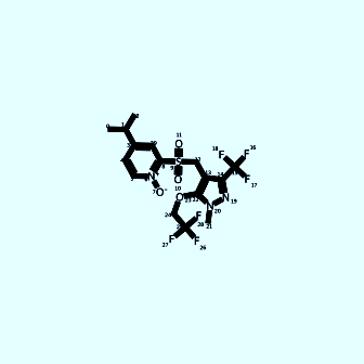 CC(C)c1cc[n+]([O-])c(S(=O)(=O)Cc2c(C(F)(F)F)nn(C)c2OCC(F)(F)F)c1